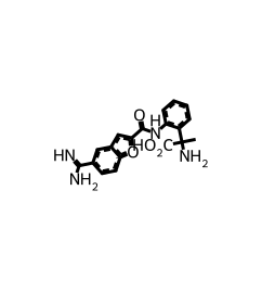 CC(N)(C(=O)O)c1ccccc1NC(=O)c1cc2cc(C(=N)N)ccc2o1